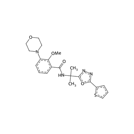 COc1c(C(=O)NC(C)(C)c2nnc(-c3cccs3)o2)cccc1N1CCOCC1